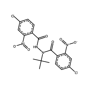 CC(C)(C)N(NC(=O)c1ccc(Cl)cc1[N+](=O)[O-])C(=O)c1ccc(Cl)cc1[N+](=O)[O-]